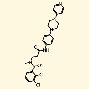 CN(CCC(=O)Nc1ccc(N2CCN(c3ccncc3)CC2)cc1)[S+]([O-])c1cccc(Cl)c1Cl